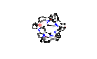 Cc1cccc(-c2c(-c3nc4ccccc4o3)c(-n3c4ccccc4c4ccccc43)c(-n3c4ccccc4c4ccccc43)c(-n3c4ccccc4c4ccccc43)c2-n2c3ccccc3c3ccccc32)n1